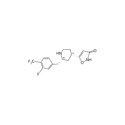 O=c1cc([C@H]2CCN[C@@H](Cc3ccc(C(F)(F)F)c(F)c3)C2)o[nH]1